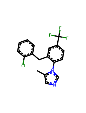 Cc1cncn1-c1ccc(C(F)(F)F)cc1Cc1ccccc1Cl